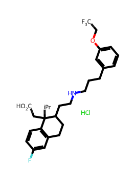 CC(C)C1(CC(=O)O)c2ccc(F)cc2CCC1CCNCCCc1cccc(OCC(F)(F)F)c1.Cl